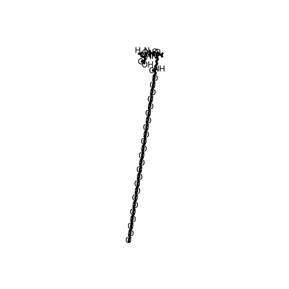 COCCOCCOCCOCCOCCOCCOCCOCCOCCOCCOCCOCCOCCOCCOCCOCCOCCOCCOCCOCCOCCOCCOCCOCCC(=O)NCCCCC(NC(=O)C(CN)NC(=O)C(CC(=O)O)CC(C)C)C(=O)C(C)C